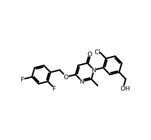 Cc1nc(OCc2ccc(F)cc2F)cc(=O)n1-c1cc(CO)ccc1Cl